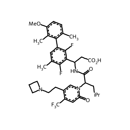 COc1ccc(C)c(-c2cc(C)c(F)c(C(CC(=O)O)NC(=O)C(CC(C)C)n3cc(CCN4CCC4)c(C(F)(F)F)cc3=O)c2F)c1C